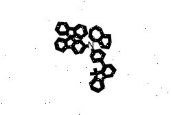 CC1(C)C2=C(c3ccc(N(C4=CCC=Cc5ccccc54)c4ccc5c(c4)C4(c6ccccc6-c6ccccc64)c4ccccc4-5)cc3)C=CCC2c2ccccc21